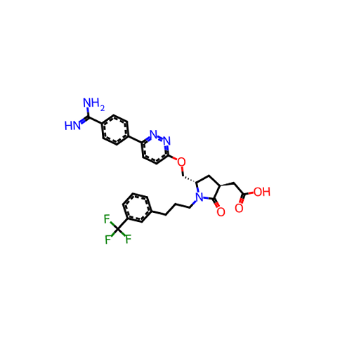 N=C(N)c1ccc(-c2ccc(OC[C@@H]3C[C@@H](CC(=O)O)C(=O)N3CCCc3cccc(C(F)(F)F)c3)nn2)cc1